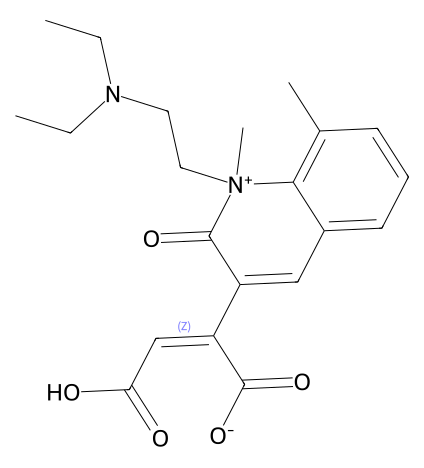 CCN(CC)CC[N+]1(C)C(=O)C(/C(=C/C(=O)O)C(=O)[O-])=Cc2cccc(C)c21